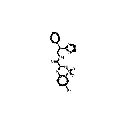 O=C(NCC(c1ccccc1)c1ncco1)C1=Nc2ccc(Br)cc2S(=O)(=O)N1